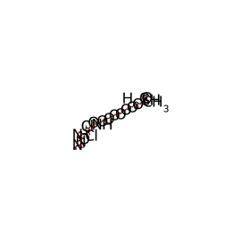 C[SH](C)(=O)CCCOCCOCCOCCOCCOCCOCCOCCNC(=O)CCc1cc(Cl)c(Cc2ccncc2C(=O)N2CCN(C3CC3)c3ccccc32)cc1Cl